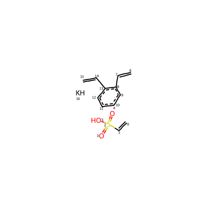 C=CS(=O)(=O)O.C=Cc1ccccc1C=C.[KH]